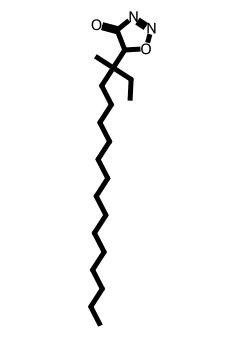 CCCCCCCCCCCCCCC(C)(CC)C1ON=NC1=O